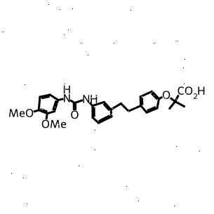 COc1ccc(NC(=O)Nc2cccc(CCc3ccc(OC(C)(C)C(=O)O)cc3)c2)cc1OC